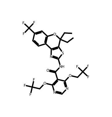 CCC1(CC)Oc2cc(C(F)(F)F)ccc2-c2nc(NC(=O)c3c(OCC(F)(F)F)ncnc3OCC(F)(F)F)sc21